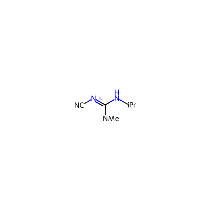 CN/C(=N\C#N)NC(C)C